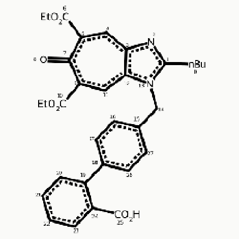 CCCCc1nc2cc(C(=O)OCC)c(=O)c(C(=O)OCC)cc2n1Cc1ccc(-c2ccccc2C(=O)O)cc1